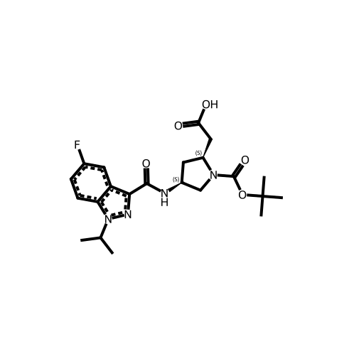 CC(C)n1nc(C(=O)N[C@H]2C[C@@H](CC(=O)O)N(C(=O)OC(C)(C)C)C2)c2cc(F)ccc21